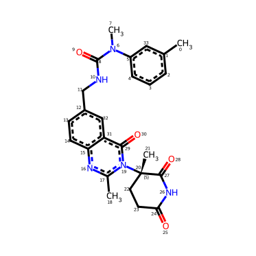 Cc1cccc(N(C)C(=O)NCc2ccc3nc(C)n([C@@]4(C)CCC(=O)NC4=O)c(=O)c3c2)c1